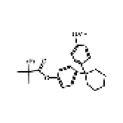 CCCC(C)(C)C(=O)Oc1ccc(C2(c3ccc(OC)cc3)CCCCC2)cc1